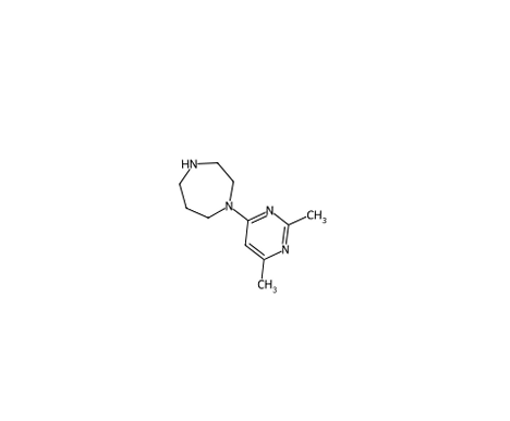 Cc1cc(N2CCCNCC2)nc(C)n1